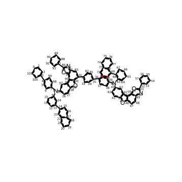 c1ccc(-c2ccc(N(c3cccc(-c4ccc5ccccc5c4)c3)c3ccc4oc5c(-c6ccc(-c7ccc(N(c8ccc9oc%10ccc%11nc(-c%12ccccc%12)oc%11c%10c9c8)c8ccccc8-c8cccc9ccccc89)cc7)cc6)cc6nc(-c7ccccc7)oc6c5c4c3)cc2)cc1